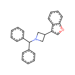 c1ccc(C(c2ccccc2)N2CC(c3coc4ccccc34)C2)cc1